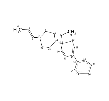 CC=C[C@H]1CC[C@H](C2(CC)C=CC(c3ccccc3)=CC2)CC1